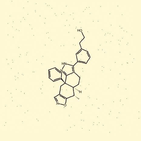 C[C@@H]1c2oncc2C[C@]2(c3ccccc3)c3n[nH]c(-c4cccc(CCO)c4)c3CC[C@@H]12